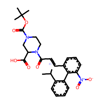 CC(C)c1ccccc1-c1c([N+](=O)[O-])[c]ccc1/C=C/C(=O)N1CCN(C(=O)OC(C)(C)C)CC1C(=O)O